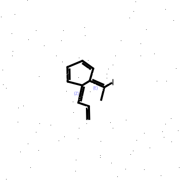 C=C/C=c1/cccc/c1=C(/C)I